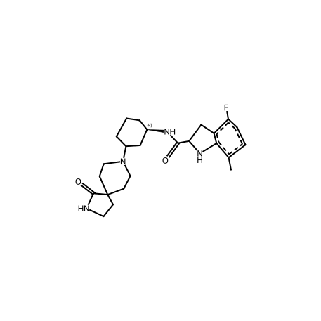 Cc1ccc(F)c2c1NC(C(=O)N[C@@H]1CCCC(N3CCC4(CCNC4=O)CC3)C1)C2